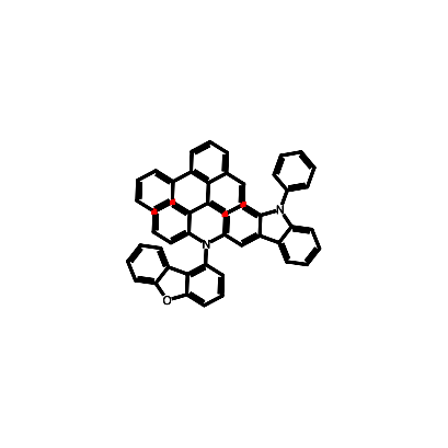 c1ccc(-c2cccc3cccc(-c4ccccc4N(c4ccc5c(c4)c4ccccc4n5-c4ccccc4)c4cccc5oc6ccccc6c45)c23)cc1